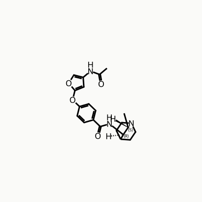 CC(=O)Nc1coc(Oc2ccc(C(=O)N[C@@H]3C4CCN(CC4)[C@H]3C)cc2)c1